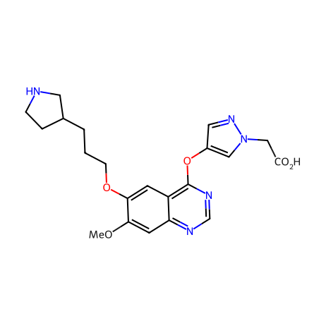 COc1cc2ncnc(Oc3cnn(CC(=O)O)c3)c2cc1OCCCC1CCNC1